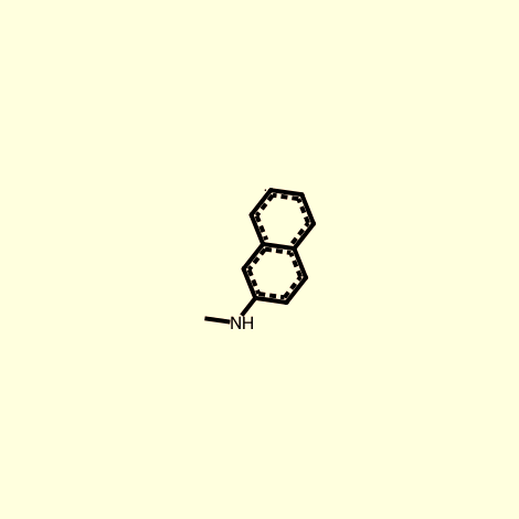 CNc1ccc2cc[c]cc2c1